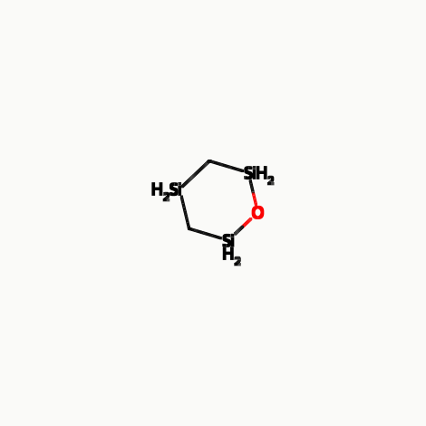 C1[SiH2]C[SiH2]O[SiH2]1